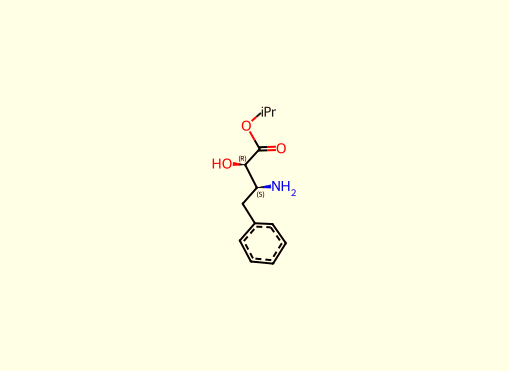 CC(C)OC(=O)[C@H](O)[C@@H](N)Cc1ccccc1